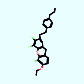 CCCc1ccc(CCc2cc3c(c(F)c2F)Oc2c(ccc(OCC)c2F)C3)cc1